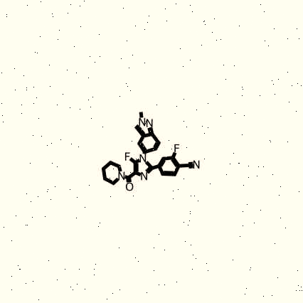 Cn1cc2cc(-n3c(-c4ccc(C#N)c(F)c4)nc(C(=O)N4CCCCC4)c3F)ccc2n1